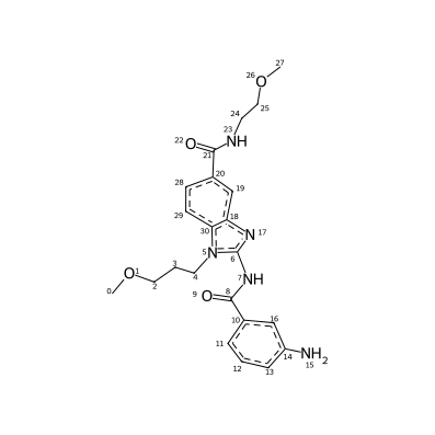 COCCCn1c(NC(=O)c2cccc(N)c2)nc2cc(C(=O)NCCOC)ccc21